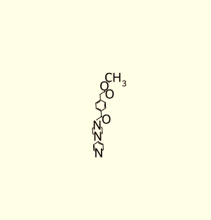 CCOC(=O)Cc1ccc(C(=O)CN2CCN(c3ccncc3)CC2)cc1